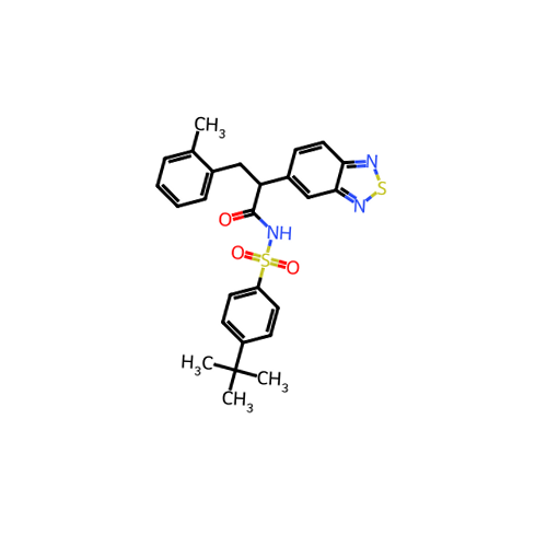 Cc1ccccc1CC(C(=O)NS(=O)(=O)c1ccc(C(C)(C)C)cc1)c1ccc2nsnc2c1